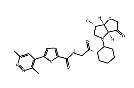 Cc1cc(-c2ccc(C(=O)NCC(=O)[C@H]3CCCCC3N3C[C@H](Cl)[C@H]4OCC(=O)[C@H]43)s2)c(C)nn1